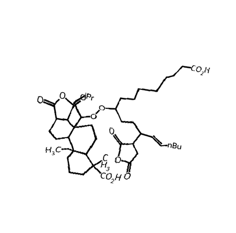 CCCC/C=C/C(CCC(CCCCCCCC(=O)O)OOC(CC(C)C)C12CCC3C(C)(C(=O)O)CCCC3(C)C1CCC1C(=O)OC(=O)C12)C1CC(=O)OC1=O